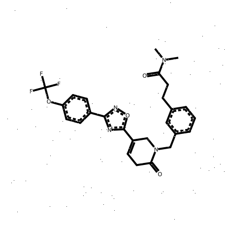 CN(C)C(=O)CCc1cccc(CN2CC(c3nc(-c4ccc(OC(F)(F)F)cc4)no3)=CCC2=O)c1